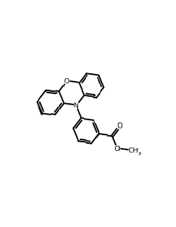 COC(=O)c1cccc(N2c3ccccc3Oc3ccccc32)c1